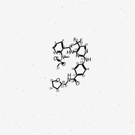 CN(c1ncccc1CNc1nc(Nc2ccc(C(=O)NC[C@H]3CCCO3)cc2)ncc1C(F)(F)F)S(C)(=O)=O